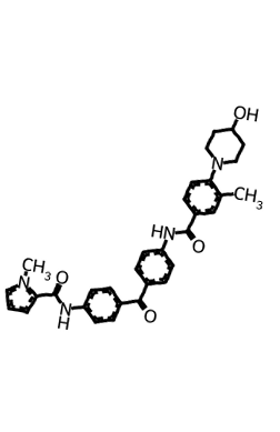 Cc1cc(C(=O)Nc2ccc(C(=O)c3ccc(NC(=O)c4cccn4C)cc3)cc2)ccc1N1CCC(O)CC1